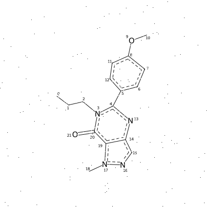 CCCn1c(-c2ccc(OC)cc2)nc2cnn(C)c2c1=O